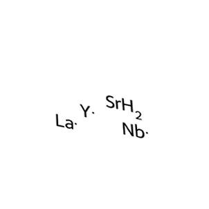 [La].[Nb].[SrH2].[Y]